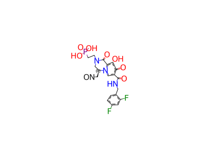 O=NC[C@H]1CN(CCP(=O)(O)O)C(=O)c2c(O)c(=O)c(C(=O)NCc3ccc(F)cc3F)cn21